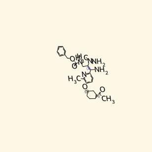 CC(=O)[C@@H]1CCC[C@H](Oc2ccc(/C(N)=C(\CNC(=O)OCc3ccccc3)N(C)N)nc2C)C1